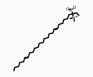 CCCCCC=CCCCCCCCCCCC=CCCCCCC(CC)(P(=O)=O)[N+](C)(C)C